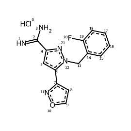 Cl.N=C(N)c1cc(-c2ccon2)n(Cc2ccccc2F)n1